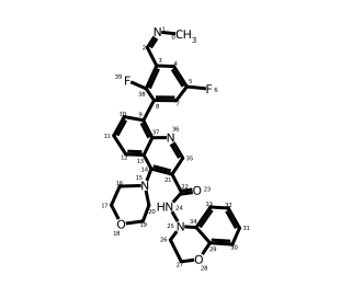 C/N=C\c1cc(F)cc(-c2cccc3c(N4CCOCC4)c(C(=O)NN4CCOc5ccccc54)cnc23)c1F